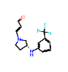 O=CC=CN1CC[C@@H](Nc2cccc(C(F)(F)F)c2)C1